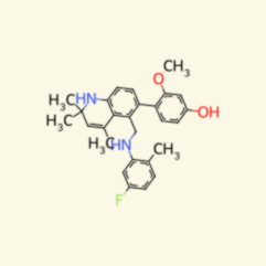 COc1cc(O)ccc1-c1ccc2c(c1CNc1cc(F)ccc1C)C(C)=CC(C)(C)N2